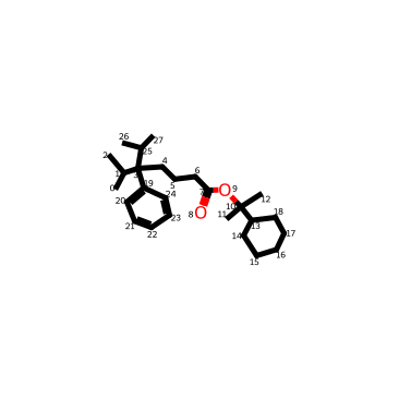 CC(C)C(CCCC(=O)OC(C)(C)C1CCCCC1)(c1ccccc1)C(C)C